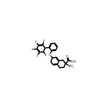 NC1(C(=O)O)CCC2=CCC(Oc3ccccc3C3C(F)=C(F)C(F)=C(F)C3F)C=C2C1